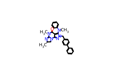 C[C@@H]1CN2C(=N1)N(C)C(=O)c1c2nn(Cc2ccc(-c3ccccc3)cc2)c1N(C)c1ccccc1